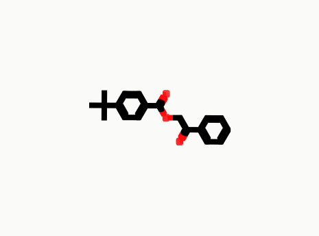 CC(C)(C)c1ccc(C(=O)OCC(=O)c2ccccc2)cc1